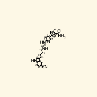 Cc1nc(-c2cnc(NCCNCCCCc3c[nH]c4ccc(C#N)cc34)nc2)oc1C(N)=O